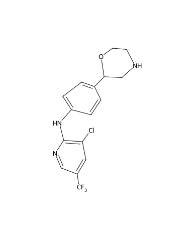 FC(F)(F)c1cnc(Nc2ccc(C3CNCCO3)cc2)c(Cl)c1